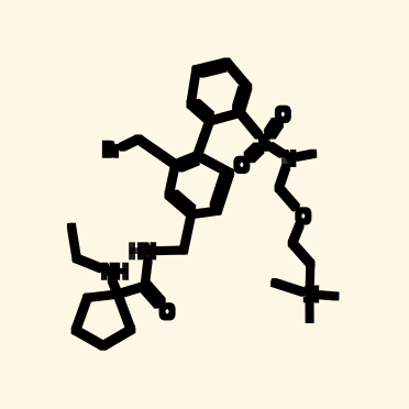 CCNC1(C(=O)NCc2ccc(-c3ccccc3S(=O)(=O)N(C)COCC[Si](C)(C)C)c(CBr)c2)CCCC1